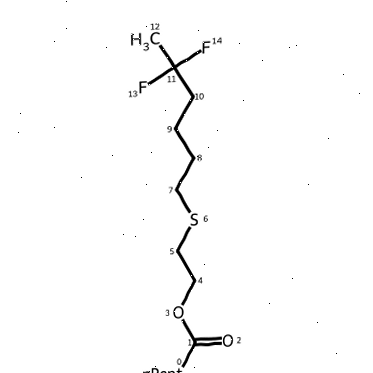 CCCCCC(=O)OCCSCCCCC(C)(F)F